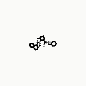 Cc1cccc(C(=O)NCC2CCCCC2)c1NC(=O)c1cccc2ccccc12